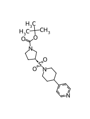 CC(C)(C)OC(=O)N1CC[C@H](S(=O)(=O)N2CCC(c3ccncc3)CC2)C1